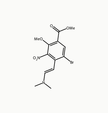 COC(=O)c1cc(Br)c(C=CN(C)C)c([N+](=O)[O-])c1OC